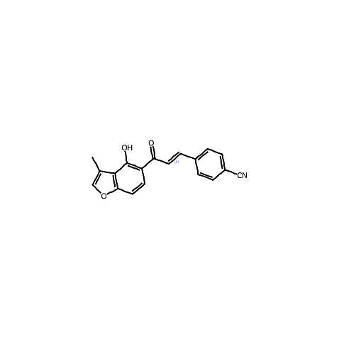 Cc1coc2ccc(C(=O)/C=C/c3ccc(C#N)cc3)c(O)c12